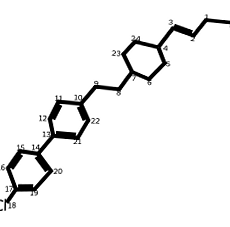 CCC=CC1CCC(CCc2ccc(-c3ccc(Cl)cc3)cc2)CC1